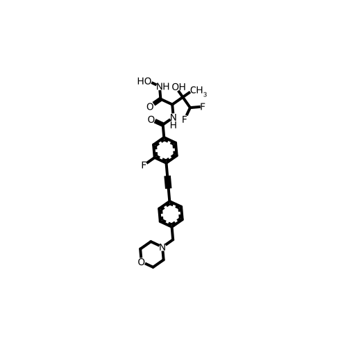 CC(O)(C(F)F)C(NC(=O)c1ccc(C#Cc2ccc(CN3CCOCC3)cc2)c(F)c1)C(=O)NO